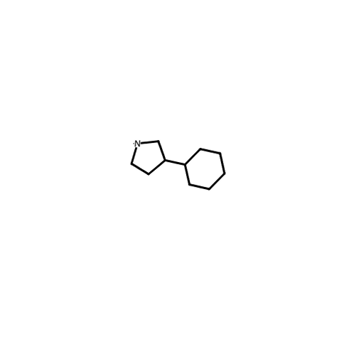 C1CCC(C2CC[N]C2)CC1